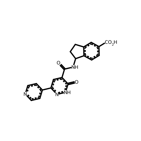 O=C(O)c1ccc2c(c1)CCC2NC(=O)c1cc(-c2ccncc2)n[nH]c1=O